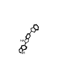 c1ccc2c(c1)CC(c1ccc3c(c1)CC(c1ccc4[nH]ccc4c1)N3)C2